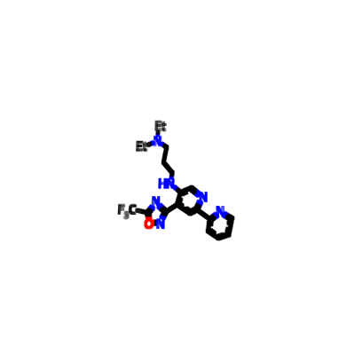 CCN(CC)CCCNc1cnc(-c2ccccn2)cc1-c1noc(C(F)(F)F)n1